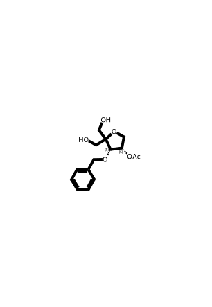 CC(=O)O[C@H]1COC(CO)(CO)[C@H]1OCc1ccccc1